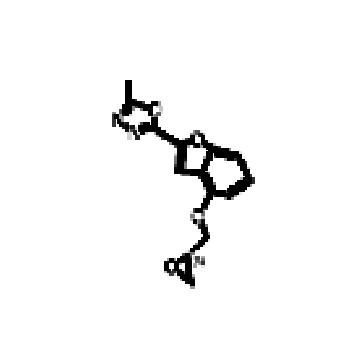 Cc1nnc(-c2cc3c(OC[C@H]4CO4)cccc3o2)o1